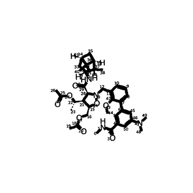 CNC(=O)c1cc(-c2cccc(CN3O[C@@H](COC(C)=O)[C@@H]([C@H](C)OC(C)=O)[C@H]3C(=O)N[C@H]3C[C@H]4C[C@@H]([C@@H]3C)C4(C)C)c2OC)cc(N(C)C)c1